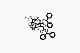 NC1C(=O)N2CC(C(=O)OC(c3ccccc3)c3ccccc3)(C(CC(=O)OC(c3ccccc3)c3ccccc3)Sc3nnn[nH]3)CS[C@H]12